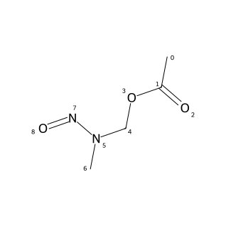 CC(=O)OCN(C)N=O